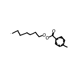 [CH2]CCCCCCOOC(=O)c1ccc(C)cc1